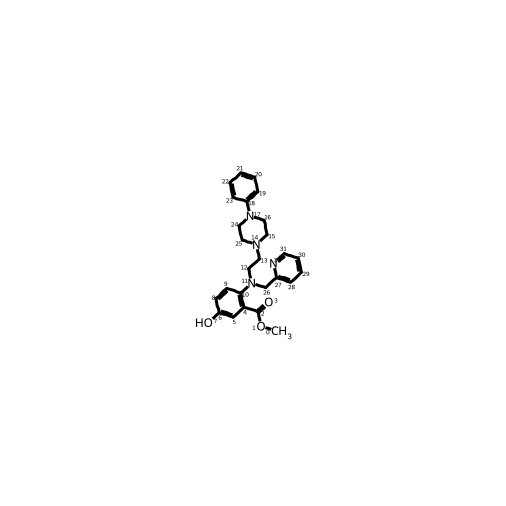 COC(=O)c1cc(O)ccc1N(CCN1CCN(c2ccccc2)CC1)Cc1ccccn1